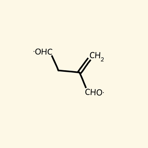 C=C([C]=O)C[C]=O